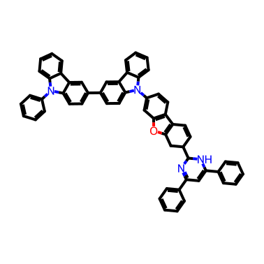 C1=CC(C2N=C(c3ccccc3)C=C(c3ccccc3)N2)Cc2oc3cc(-n4c5ccccc5c5cc(-c6ccc7c(c6)c6ccccc6n7-c6ccccc6)ccc54)ccc3c21